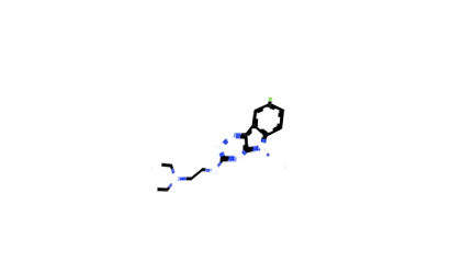 CCN(CC)CCNc1nnc2c3cc(F)ccc3n(C)c2n1